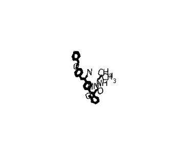 CC(C)CNNC(=O)c1c(-c2ccc(/C(C#N)=C/c3ccc(OCc4ccccc4)cc3)cc2)oc2ccccc12